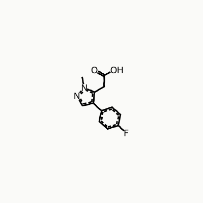 Cn1ncc(-c2ccc(F)cc2)c1CC(=O)O